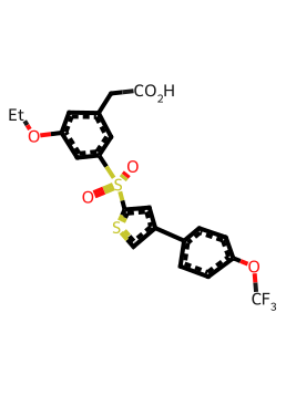 CCOc1cc(CC(=O)O)cc(S(=O)(=O)c2cc(-c3ccc(OC(F)(F)F)cc3)cs2)c1